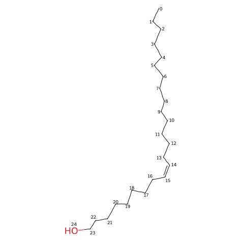 CCCCCCCCCCCCCC/C=C\CCCCCCCCO